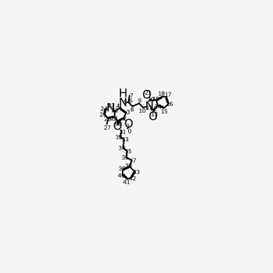 COc1cc(NC(C)CCCN2C(=O)c3ccccc3C2=O)c2nccc(C)c2c1OCCCCCCCc1ccccc1